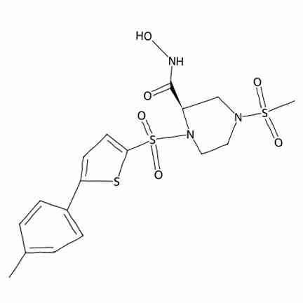 Cc1ccc(-c2ccc(S(=O)(=O)N3CCN(S(C)(=O)=O)C[C@@H]3C(=O)NO)s2)cc1